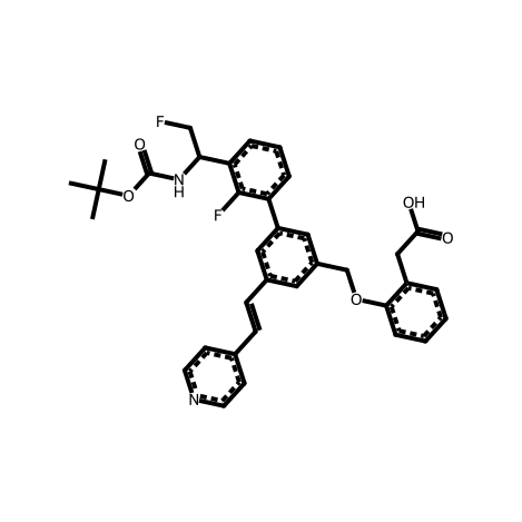 CC(C)(C)OC(=O)NC(CF)c1cccc(-c2cc(/C=C/c3ccncc3)cc(COc3ccccc3CC(=O)O)c2)c1F